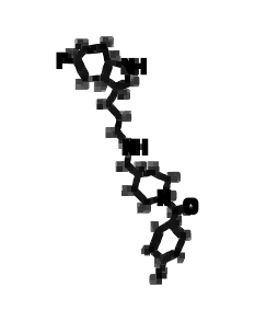 O=C(c1ccc(F)cc1)N1CCC(CNCCCc2c[nH]c3ccc(F)cc23)CC1